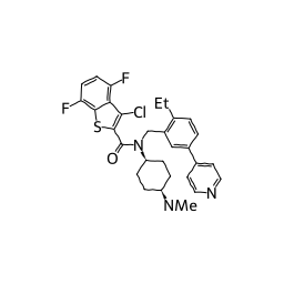 CCc1ccc(-c2ccncc2)cc1CN(C(=O)c1sc2c(F)ccc(F)c2c1Cl)[C@H]1CC[C@@H](NC)CC1